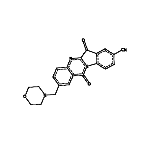 N#Cc1ccc2c(c1)C(=O)c1nc3ccc(CN4CCOCC4)cc3c(=O)n1-2